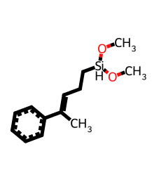 CO[SiH](CCC=C(C)c1ccccc1)OC